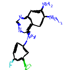 Nc1cc2ncnc(Nc3ccc(F)c(Cl)c3)c2cc1N